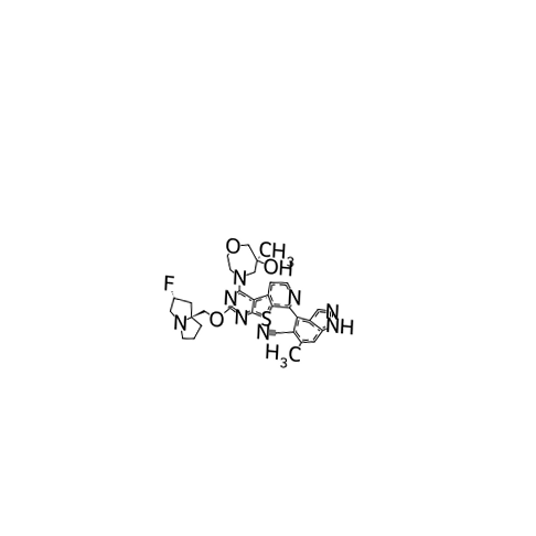 Cc1cc2[nH]ncc2c(-c2nccc3c2sc2nc(OC[C@@]45CCCN4C[C@H](F)C5)nc(N4CCOC[C@@](C)(O)C4)c23)c1C#N